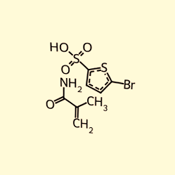 C=C(C)C(N)=O.O=S(=O)(O)c1ccc(Br)s1